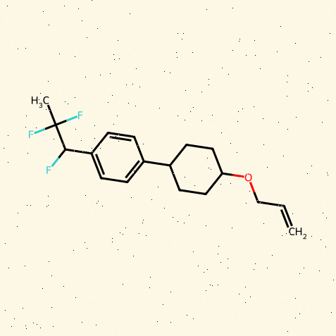 C=CCOC1CCC(c2ccc(C(F)C(C)(F)F)cc2)CC1